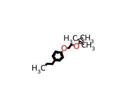 CCCc1ccc(OCCO[Si](C)(C)C)cc1